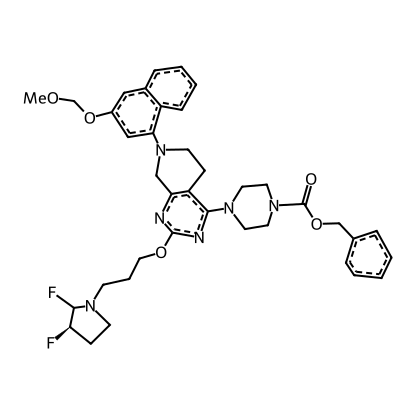 COCOc1cc(N2CCc3c(nc(OCCCN4CC[C@@H](F)C4F)nc3N3CCN(C(=O)OCc4ccccc4)CC3)C2)c2ccccc2c1